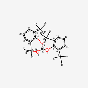 CC[O][Al]([O]c1c(C(C)(C)C)cccc1C(C)(C)C)[O]c1c(C(C)(C)C)cccc1C(C)(C)C